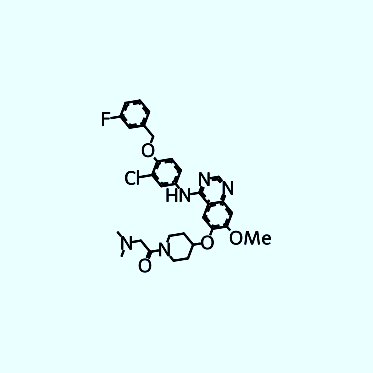 COc1cc2ncnc(Nc3ccc(OCc4cccc(F)c4)c(Cl)c3)c2cc1OC1CCN(C(=O)CN(C)C)CC1